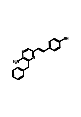 Nc1ncc(/C=C/c2ccc(O)cc2)nc1Cc1ccccc1